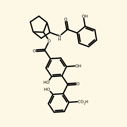 O=C(OC1C2CCC1C(NC(=O)c1ccccc1O)C2)c1cc(O)c(C(=O)c2c(O)cccc2C(=O)O)c(O)c1